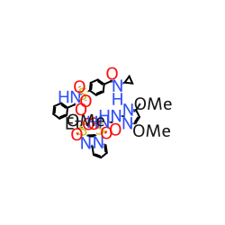 CCS(=O)(=O)c1nc2ccccn2c1S(=O)(=O)NC(=O)Nc1nc(OC)cc(OC)n1.COc1ccccc1C(=O)NS(=O)(=O)c1ccc(C(=O)NC2CC2)cc1